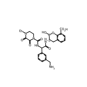 CCN1CCN(C(=O)NC(C(=O)N[C@H]2Cc3cccc(C(=O)O)c3OB2O)c2cccc(CN)c2)C(=O)C1=O